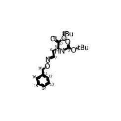 CC(C)(C)OC(=O)N[C@@H](C/C=N/OCc1ccccc1)C(=O)OC(C)(C)C